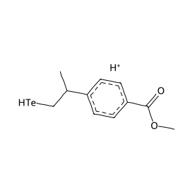 COC(=O)c1ccc(C(C)C[TeH])cc1.[H+]